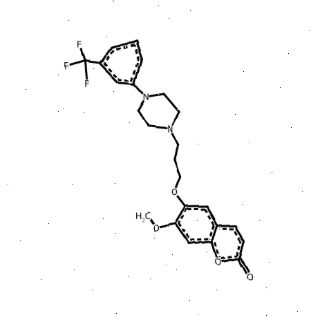 COc1cc2oc(=O)ccc2cc1OCCCN1CCN(c2cccc(C(F)(F)F)c2)CC1